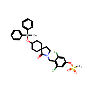 CC(C)(C)[Si](OC1CCC2(CC1)CCN(Cc1c(Cl)cc(OS(=O)(=O)C(F)(F)F)cc1Cl)C2=O)(c1ccccc1)c1ccccc1